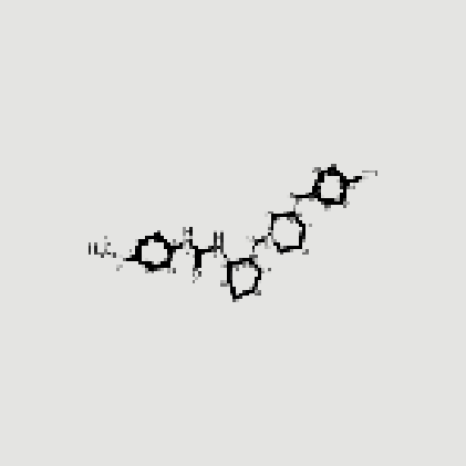 COc1ccc(NC(=O)N[C@@H]2CCCC[C@H]2CN2CCC[C@@H](Cc3ccc(F)cc3)C2)cc1